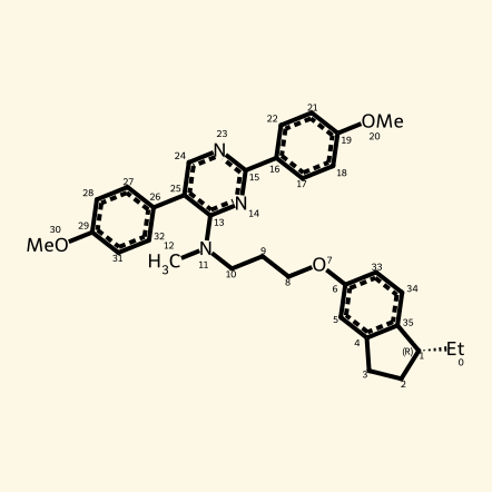 CC[C@@H]1CCc2cc(OCCCN(C)c3nc(-c4ccc(OC)cc4)ncc3-c3ccc(OC)cc3)ccc21